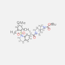 COc1cc(C)c(S(=O)(=O)N2CCCc3ccc(CC(=O)N4CCC5(CC4)CCN(C(=O)OC(C)(C)C)C5)cc32)c(C)c1